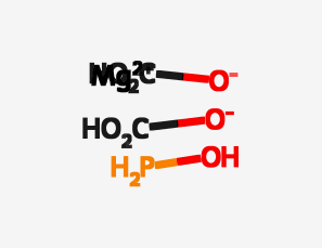 O=C([O-])O.O=C([O-])O.OP.[Mg+2]